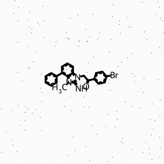 Cn1c(=N)n(CC(=O)c2ccc(Br)cc2)c2cccc(-c3ccccc3)c21